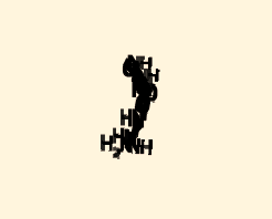 N=C(N)NCCCNCc1ccc(C2N=c3cc(C4CNCCO4)[nH]c3=NC2=O)cc1